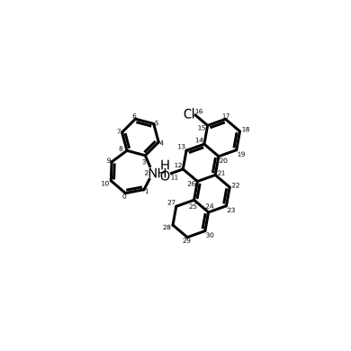 C1=CNc2ccccc2C=C1.OC1C=c2c(Cl)cccc2=c2ccc3c(c21)CCCC=3